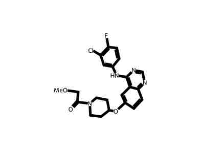 COCC(=O)N1CCC(Oc2ccc3ncnc(Nc4ccc(F)c(Cl)c4)c3c2)CC1